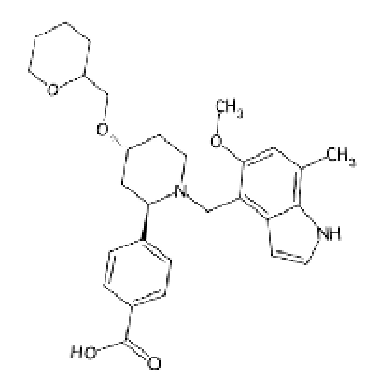 COc1cc(C)c2[nH]ccc2c1CN1CC[C@@H](OCC2CCCCO2)C[C@@H]1c1ccc(C(=O)O)cc1